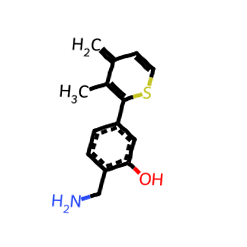 C=C1C=CSC(c2ccc(CN)c(O)c2)=C1C